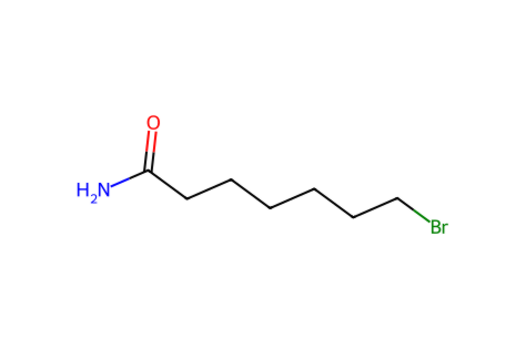 NC(=O)CCCCCCBr